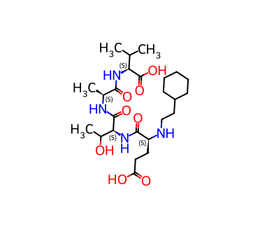 CC(C)[C@H](NC(=O)[C@H](C)NC(=O)[C@@H](NC(=O)[C@H](CCC(=O)O)NCCC1CCCCC1)C(C)O)C(=O)O